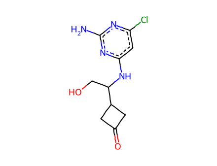 Nc1nc(Cl)cc(NC(CO)C2CC(=O)C2)n1